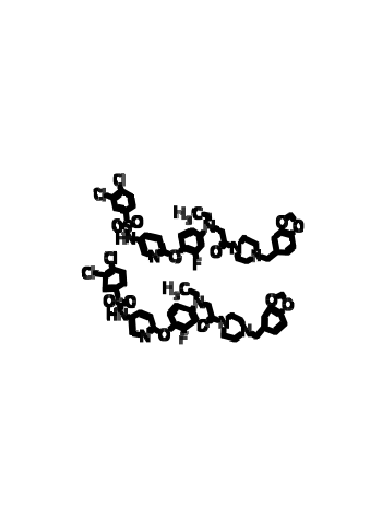 CCN(CC(=O)N1CCN(Cc2ccc3c(c2)OCO3)CC1)c1ccc(Oc2ccc(NS(=O)(=O)c3ccc(Cl)c(Cl)c3)cn2)c(F)c1.CCN(CC(=O)N1CCN(Cc2ccc3c(c2)OCO3)CC1)c1ccc(Oc2ccc(NS(=O)(=O)c3ccc(Cl)c(Cl)c3)cn2)c(F)c1